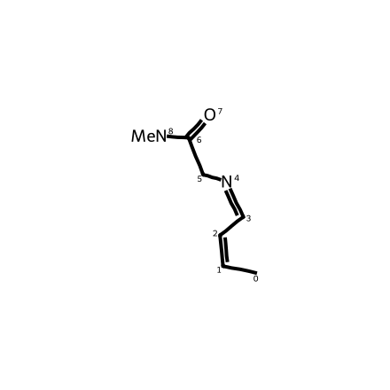 C/C=C\C=N/CC(=O)NC